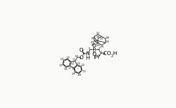 CC(C)[C@@H](C[P@@](=O)(CNC(=O)OCC1c2ccccc2-c2ccccc21)OC12CC3CC(CC(C3)C1)C2)C(=O)O